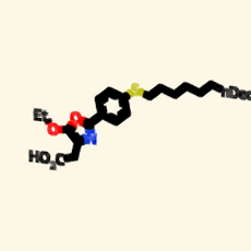 CCCCCCCCCCCCCCCCSc1ccc(-c2nc(CC(=O)O)c(OCC)o2)cc1